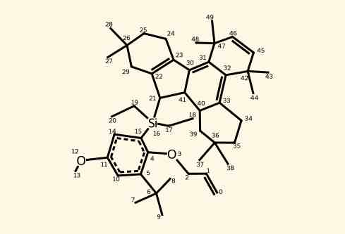 C=CCOc1c(C(C)(C)C)cc(OC)cc1[Si](CC)(CC)C1C2=C(CCC(C)(C)C2)C2=C3C(=C4CCC(C)(C)CC4C21)C(C)(C)C=CC3(C)C